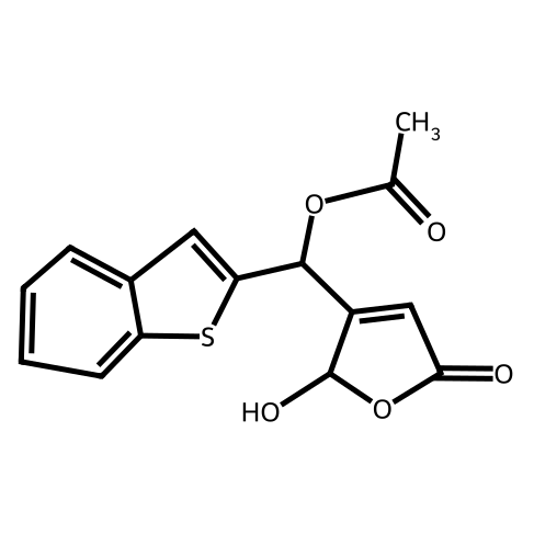 CC(=O)OC(C1=CC(=O)OC1O)c1cc2ccccc2s1